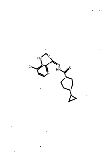 S=C(N/N=C1/CCNc2c(Cl)ccnc21)N1CCN(C2CC2)CC1